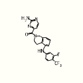 Nc1nccc(C(=O)N2CCc3c(cccc3Nc3ccc(C(F)(F)F)c(F)c3)C2)n1